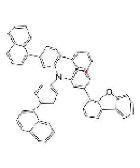 c1ccc(-c2ccc(-c3cccc4ccccc34)cc2N(c2ccc(-c3cccc4ccccc34)cc2)c2cccc(-c3cccc4c3oc3ccccc34)c2)cc1